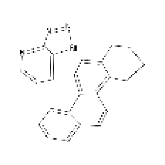 c1ccc2c(c1)ccc1c3c(ccc12)CCCC3.c1cnc2nn[nH]c2c1